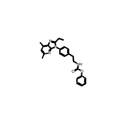 CCc1nc2c(C)cc(C)nc2n1-c1ccc(CCNC(=O)Oc2ccccc2)cc1